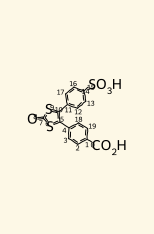 O=C(O)c1ccc(-c2sc(=O)sc2-c2ccc(S(=O)(=O)O)cc2)cc1